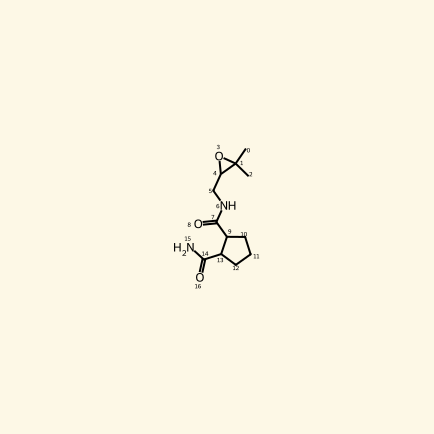 CC1(C)OC1CNC(=O)C1CCCC1C(N)=O